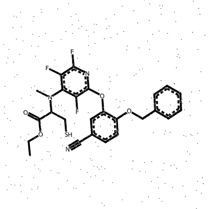 CCOC(=O)C(CS)N(C)c1c(F)c(F)nc(Oc2cc(C#N)ccc2OCc2ccccc2)c1F